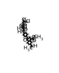 CNc1ccc2c(=O)n(-c3ccc(NC(=O)NS(=O)(=O)c4cc(Cl)c(Cl)s4)cc3)cc(C(=O)OC)c2c1